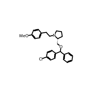 COc1ccc(CCN2CCC[C@@H]2COC(c2ccccc2)c2ccc(Cl)cc2)cc1